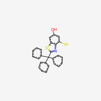 Oc1cc(S)c2nc(C(c3ccccc3)(c3ccccc3)c3ccccc3)sc2c1